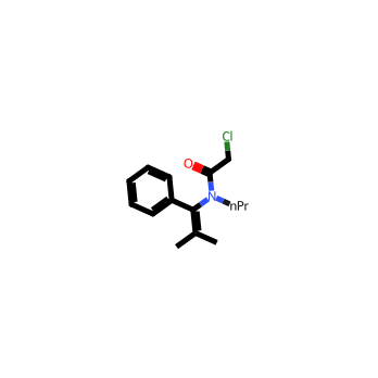 CCCN(C(=O)CCl)C(=C(C)C)c1ccccc1